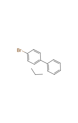 Brc1ccc(-c2ccccc2)cc1.CCC